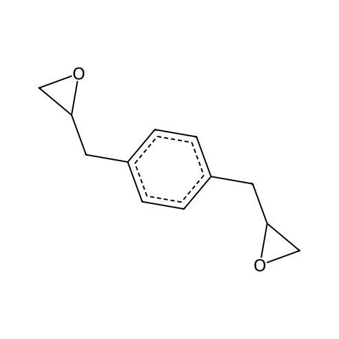 c1cc(CC2CO2)ccc1CC1CO1